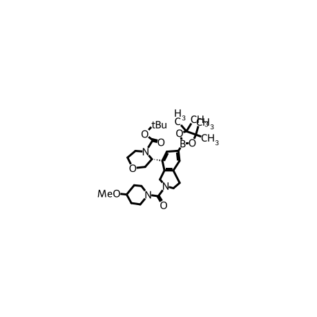 COC1CCN(C(=O)N2CCc3cc(B4OC(C)(C)C(C)(C)O4)cc([C@@H]4COCCN4C(=O)OC(C)(C)C)c3C2)CC1